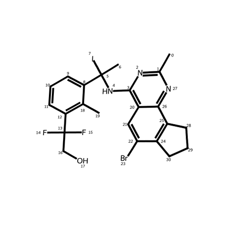 Cc1nc(NC(C)(I)c2cccc(C(F)(F)CO)c2C)c2cc(Br)c3c(c2n1)CCC3